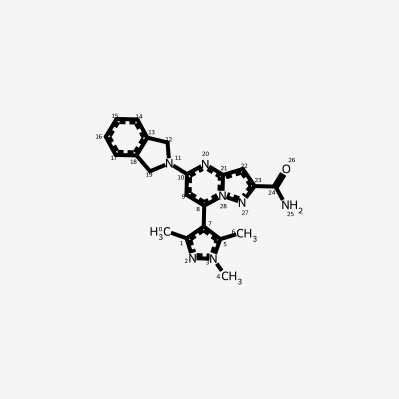 Cc1nn(C)c(C)c1-c1cc(N2Cc3ccccc3C2)nc2cc(C(N)=O)nn12